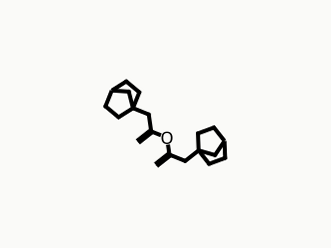 C=C(CC12CCC(CC1)C2)OC(=C)CC12CCC(CC1)C2